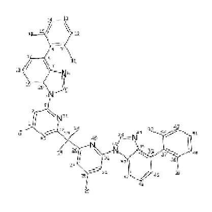 Cc1cc(-n2cnc3c(-c4c(C)cccc4C)cccc32)nc(C(C)(C)c2cc(C)cc(-n3cnc4c(-c5c(C)cccc5C)cccc43)n2)c1